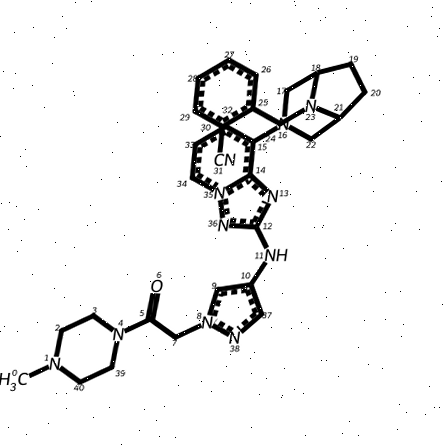 CN1CCN(C(=O)Cn2cc(Nc3nc4c(N5CC6CCC(C5)N6Cc5ccccc5C#N)cccn4n3)cn2)CC1